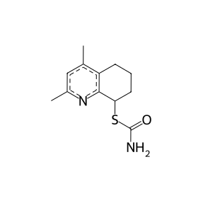 Cc1cc(C)c2c(n1)C(SC(N)=O)CCC2